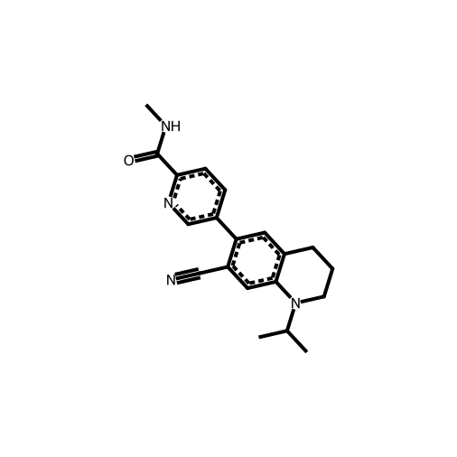 CNC(=O)c1ccc(-c2cc3c(cc2C#N)N(C(C)C)CCC3)cn1